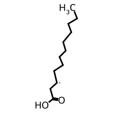 CCCCCCCCC[CH]CC(=O)O